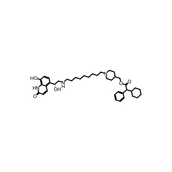 O=C(OCC1CCN(CCCCCCCCCNC[C@H](O)c2ccc(O)c3[nH]c(=O)ccc23)CC1)C(c1ccccc1)C1CCCCC1